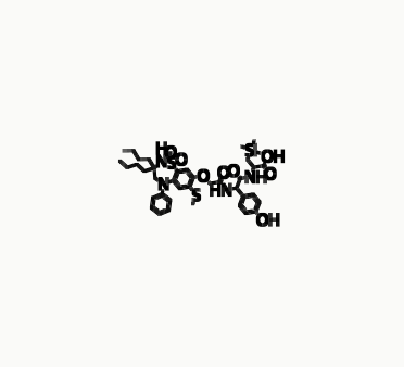 CCCCC1(CCCC)CN(c2ccccc2)c2cc(SC)c(OCC(=O)NC(C(=O)NC(C[Si](C)(C)C)C(=O)O)c3ccc(O)cc3)cc2S(=O)(=O)N1